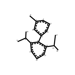 Cc1cccc(-c2c(C(C)C)cccc2C(C)C)c1